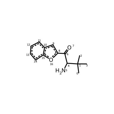 CC(C)(C)C(N)C(=O)c1cc2ccccc2o1